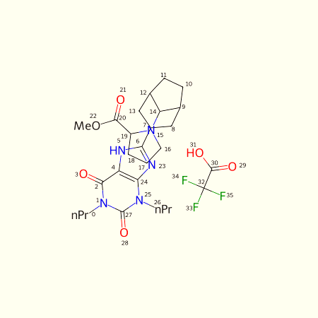 CCCn1c(=O)c2[nH]c(C3CC4CCC(C3)C4N3CCCC3C(=O)OC)nc2n(CCC)c1=O.O=C(O)C(F)(F)F